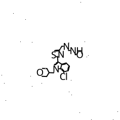 CN(CNC=O)Cc1csc(-c2cn(CC3CCOCC3)c3c(Cl)cccc23)n1